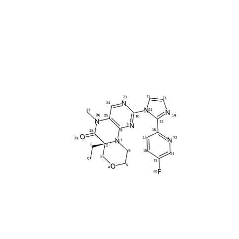 CC[C@]12COCCN1c1nc(-n3ccnc3-c3ccc(F)cn3)ncc1N(C)C2=O